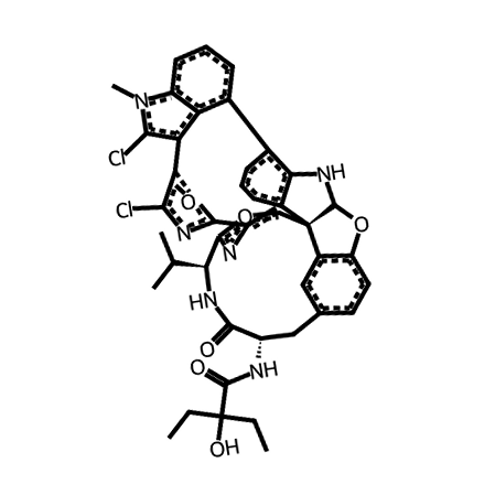 CCC(O)(CC)C(=O)N[C@H]1Cc2ccc3c(c2)[C@]24c5cccc(c5NC2O3)-c2cccc3c2c(c(Cl)n3C)-c2oc(nc2Cl)-c2nc(oc24)[C@H](C(C)C)NC1=O